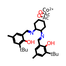 CC(=O)[O-].CC(=O)[O-].Cc1cc(C=NC2CCCCC2N=Cc2cc(C)cc(C(C)(C)C)c2O)c(O)c(C(C)(C)C)c1.[Co+2]